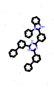 c1ccc(-c2cccc(C3=NC(c4cccc(C5Nc6ccccc6N5c5ccccc5)c4)NC(c4cccc(-c5ccccc5)c4)N3)c2)cc1